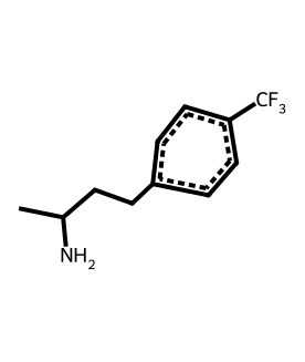 CC(N)CCc1ccc(C(F)(F)F)cc1